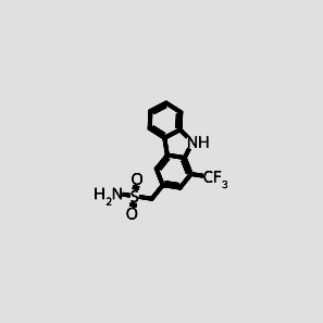 NS(=O)(=O)Cc1cc(C(F)(F)F)c2[nH]c3ccccc3c2c1